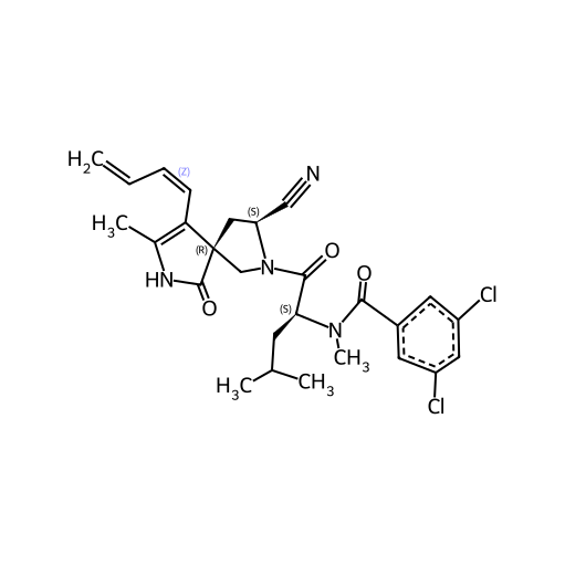 C=C/C=C\C1=C(C)NC(=O)[C@]12C[C@@H](C#N)N(C(=O)[C@H](CC(C)C)N(C)C(=O)c1cc(Cl)cc(Cl)c1)C2